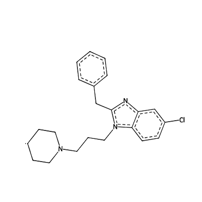 Clc1ccc2c(c1)nc(Cc1ccccc1)n2CCCN1CC[CH]CC1